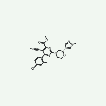 CC#Cc1c(C(=O)OC)nc(N2CCO[C@@H](c3cnn(C)c3)C2)nc1-c1ccc(Cl)cc1F